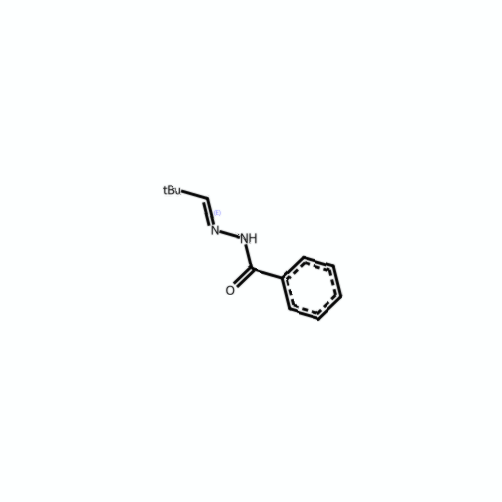 CC(C)(C)/C=N/NC(=O)c1ccccc1